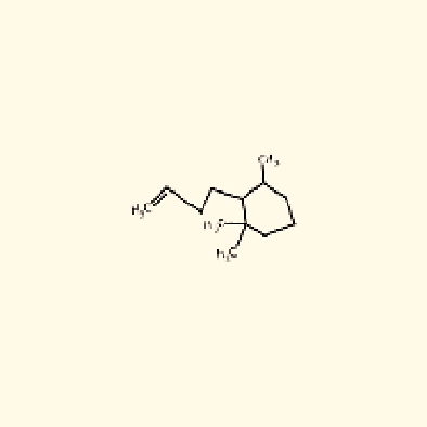 C=CCCC1C(C)CCCC1(C)C